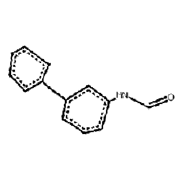 O=[C]Nc1cccc(-c2ccccc2)c1